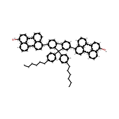 CCCCCCc1ccc(C2(c3ccc(CCCCCC)cc3)c3cc(-c4ccc5c6cccc7c(Br)ccc(c8cccc4c85)c76)ccc3-c3ccc(-c4ccc5c6cccc7c(Br)ccc(c8cccc4c85)c76)cc32)cc1